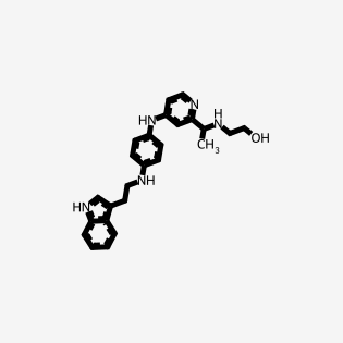 CC(NCCO)c1cc(Nc2ccc(NCCc3c[nH]c4ccccc34)cc2)ccn1